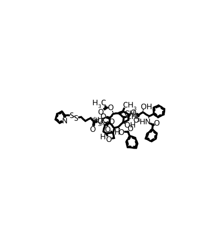 CC(=O)O[C@H]1C(=O)[C@]2(C)[C@@H](OC(=O)CCCSSc3ccccn3)C[C@H]3OC[C@@]3(OC(C)=O)[C@H]2[C@H](OC(=O)c2ccccc2)[C@]2(O)C[C@H](OC(=O)[C@H](O)[C@@H](NC(=O)c3ccccc3)c3ccccc3)C(C)=C1C2(C)C